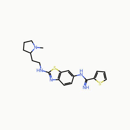 CN1CCCC1CCNc1nc2ccc(NC(=N)c3cccs3)cc2s1